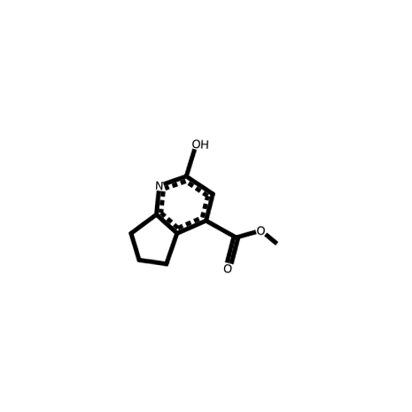 COC(=O)c1cc(O)nc2c1CCC2